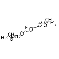 C=C(C)C(=O)OCCOc1ccc(/C=C/c2ccc(/C=C/c3ccc(OC(=O)C(=C)C)cc3)cc2F)cc1